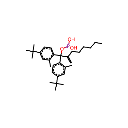 C=C(CCCCCC)C(OP(O)O)(c1ccc(C(C)(C)C)cc1C)c1ccc(C(C)(C)C)cc1C